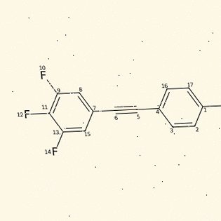 Cc1ccc(C#Cc2cc(F)c(F)c(F)c2)cc1